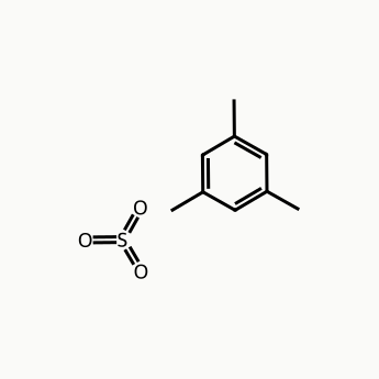 Cc1cc(C)cc(C)c1.O=S(=O)=O